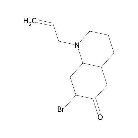 C=CCN1CCCC2CC(=O)C(Br)CC21